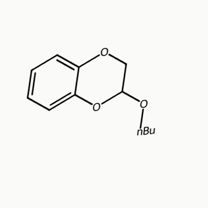 [CH2]CCCOC1COc2ccccc2O1